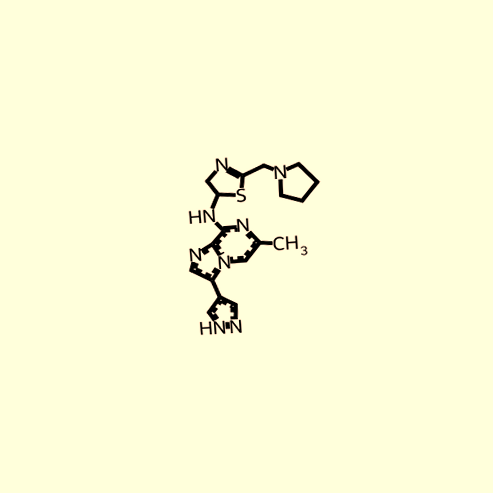 Cc1cn2c(-c3cn[nH]c3)cnc2c(NC2CN=C(CN3CCCC3)S2)n1